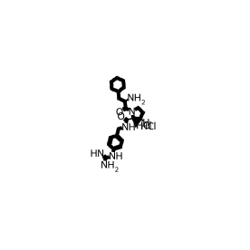 Cl.Cl.N=C(N)Nc1ccc(CNC(=O)[C@]23C[C@H]2CCN3C(=O)[C@H](N)CC2CCCCC2)cc1